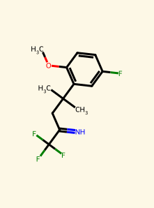 COc1ccc(F)cc1C(C)(C)CC(=N)C(F)(F)F